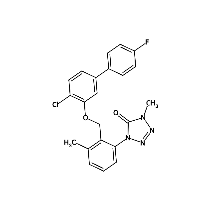 Cc1cccc(-n2nnn(C)c2=O)c1COc1cc(-c2ccc(F)cc2)ccc1Cl